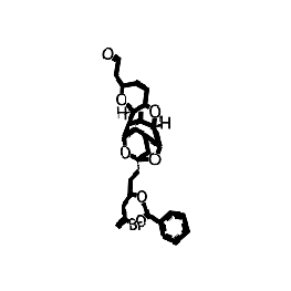 C=C(Br)CC(CC[C@@]12CC3CC(O1)C1C(C)[C@@H](OC4CCC(CC=O)O[C@@H]41)C3O2)OC(=O)c1ccccc1